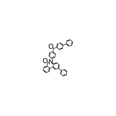 O=C(c1ccc(-c2ccccc2)cc1)c1ccc(-n2c(=O)c3ccccc3c3cc(-c4ccccc4)ccc32)cc1